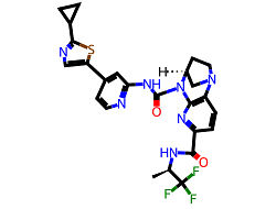 C[C@@H](NC(=O)c1ccc2c(n1)N(C(=O)Nc1cc(-c3cnc(C4CC4)s3)ccn1)[C@H]1CCN2C1)C(F)(F)F